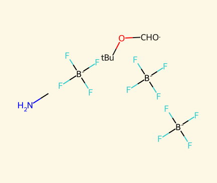 CC(C)(C)O[C]=O.CN.F[B-](F)(F)F.F[B-](F)(F)F.F[B-](F)(F)F